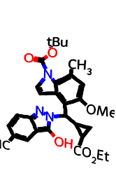 CCOC(=O)C1CC1C(c1c(OC)cc(C)c2c1ccn2C(=O)OC(C)(C)C)n1nc2ccc(C#N)cc2c1O